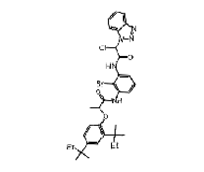 CCC(C)(C)c1ccc(OC(C)C(=O)Nc2cccc(NC(=O)C(Cl)n3nnc4ccccc43)c2Br)c(C(C)(C)CC)c1